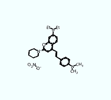 CCN(CC)c1ccc2c(/C=C/c3ccc(N(C)C)cc3)cc(=[N+]3CCCCC3)oc2c1.O=[N+]([O-])[O-]